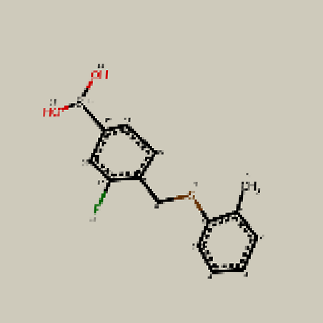 Cc1ccccc1SCc1ccc(B(O)O)cc1F